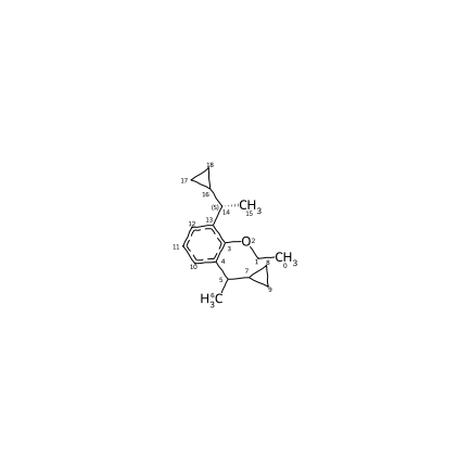 CCOc1c(C(C)C2CC2)cccc1[C@@H](C)C1CC1